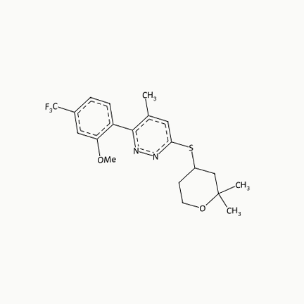 COc1cc(C(F)(F)F)ccc1-c1nnc(SC2CCOC(C)(C)C2)cc1C